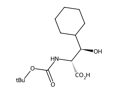 CC(C)(C)OC(=O)N[C@@H](C(=O)O)[C@H](O)C1CCCCC1